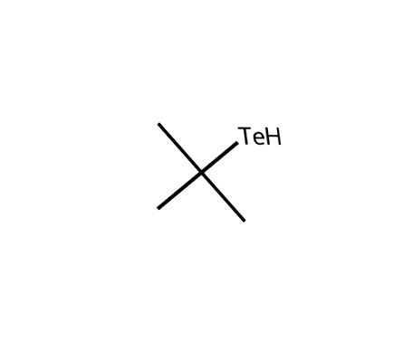 CC(C)(C)[TeH]